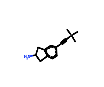 C[Si](C)(C)C#Cc1ccc2c(c1)CC(N)C2